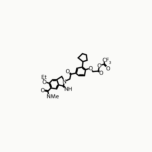 CCOc1cc2c(cc1C(=O)NC)C(=N)N(CC(=O)c1ccc(OCC(=O)OC(=O)C(F)(F)F)c(C3CCCC3)c1)C2